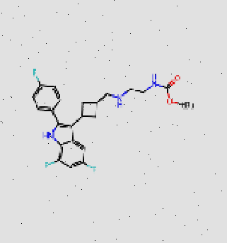 CC(C)(C)OC(=O)NCCNCC1CC(c2c(-c3ccc(F)cc3)[nH]c3c(F)cc(F)cc23)C1